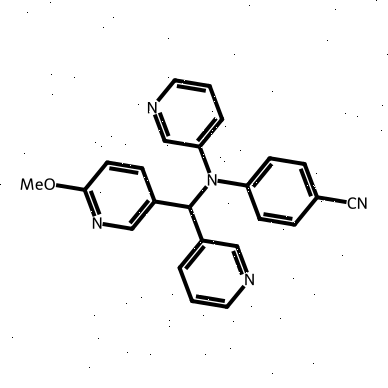 COc1ccc(C(c2cccnc2)N(c2ccc(C#N)cc2)c2cccnc2)cn1